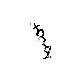 CNc1nnc(OCC2C=CC(C(C)(C)O)=CN2)s1